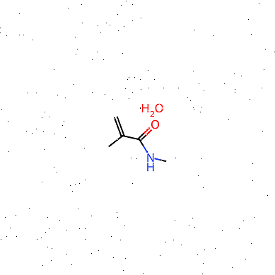 C=C(C)C(=O)NC.O